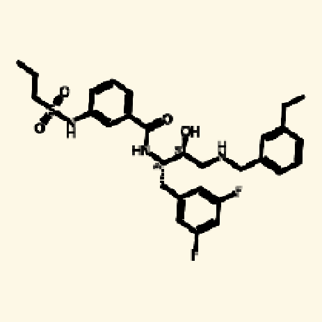 CCCS(=O)(=O)Nc1cccc(C(=O)N[C@@H](Cc2cc(F)cc(F)c2)[C@@H](O)CNCc2cccc(CC)c2)c1